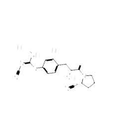 CN/C(=N/C#N)Nc1ccc(C[C@H](N)C(=O)N2CCC[C@H]2C#N)cc1.Cl